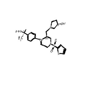 C[C@](O)(c1ccc(N2CCN(S(=O)(=O)c3cccs3)C[C@@H]2CN2CC[C@@H](O)C2)cc1)C(F)(F)F